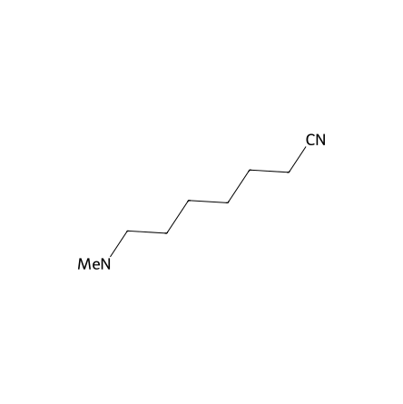 CNCCCCCCC#N